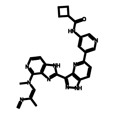 C=N/C(C)=C\N(C)c1nccc2[nH]c(-c3n[nH]c4ccc(-c5cncc(NC(=O)C6CCC6)c5)nc34)nc12